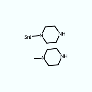 CN1CCNCC1.CN1CCNCC1.[Sn]